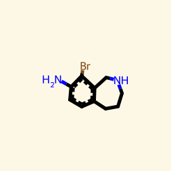 Nc1ccc2c(c1Br)CNCCC2